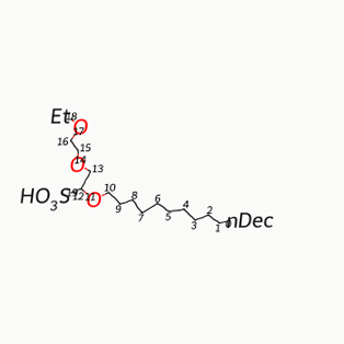 CCCCCCCCCCCCCCCCCCCCOC(COCCOCC)S(=O)(=O)O